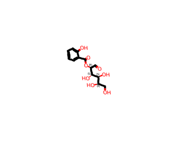 O=C[C@H](OC(=O)c1ccccc1O)[C@@H](O)[C@@H](O)[C@H](O)CO